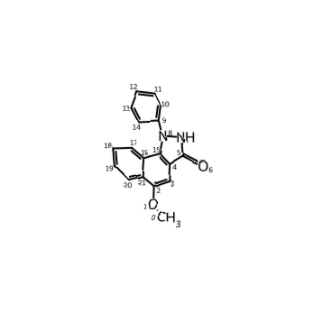 COc1cc2c(=O)[nH]n(-c3ccccc3)c2c2ccccc12